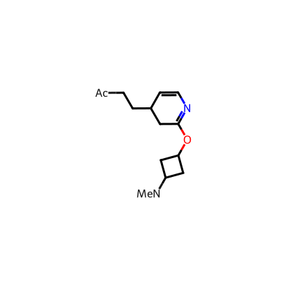 CNC1CC(OC2=NC=CC(CCC(C)=O)C2)C1